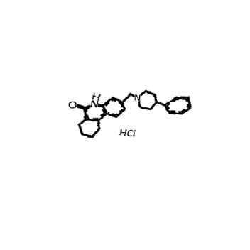 Cl.O=c1[nH]c2cc(CN3CCC(c4ccccc4)CC3)ccc2c2c1CCCC2